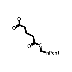 [CH2]CCCCCOC(=O)CCCC([O])=O